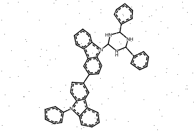 c1ccc(C2NC(c3ccccc3)NC(n3c4ccccc4c4cc(-c5ccc6c(c5)c5ccccc5n6-c5ccccc5)ccc43)N2)cc1